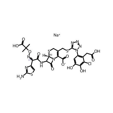 CC(C)(O/N=C(\C(=O)NC1C(=O)N2C(C(=O)[O-])=C(CSc3nnnn3-c3cc(O)c(O)c(Cl)c3CC(=O)O)CS[C@@H]12)c1csc(N)n1)C(=O)O.[Na+]